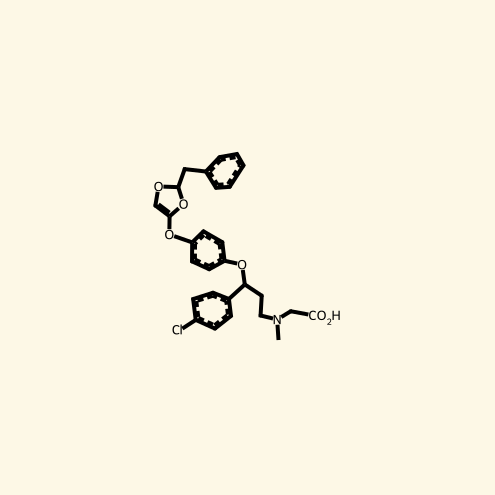 CN(CCC(Oc1ccc(OC2=COC(Cc3ccccc3)O2)cc1)c1ccc(Cl)cc1)CC(=O)O